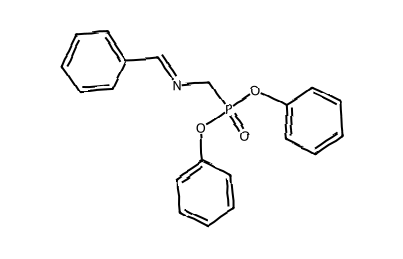 O=P(C/N=C/c1ccccc1)(Oc1ccccc1)Oc1ccccc1